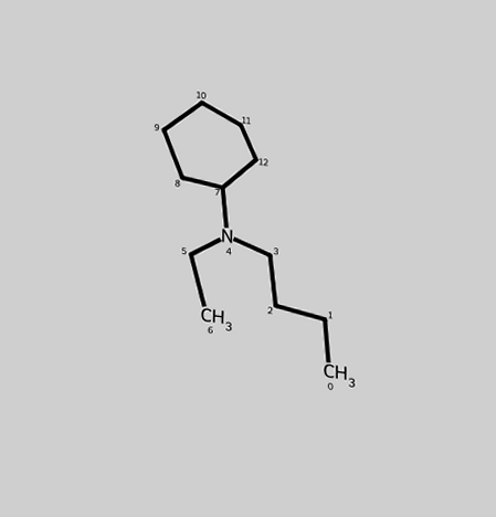 CCCCN(CC)C1CCCCC1